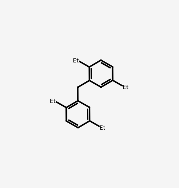 CCc1ccc(CC)c(Cc2cc(CC)ccc2CC)c1